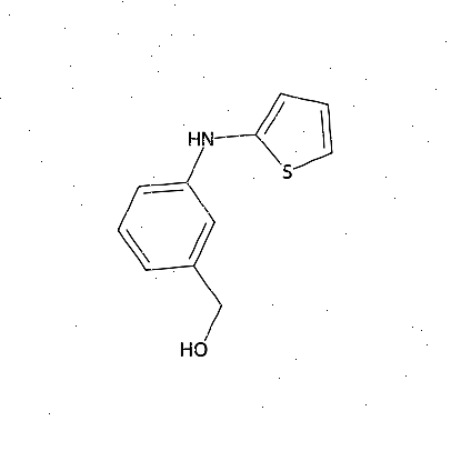 OCc1cccc(Nc2cccs2)c1